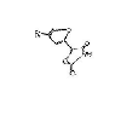 O=C1NC(=O)C(c2cc(Br)co2)O1